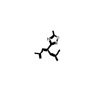 C=C(C)/C=C(\C=C(C)C)c1noc(C)n1